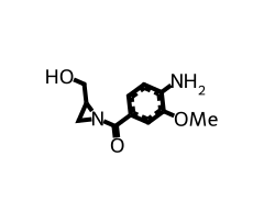 COc1cc(C(=O)N2CC2CO)ccc1N